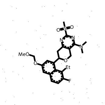 CCc1c(F)ccc2cc(OCOC)cc(C3Cc4nc(S(C)(=O)=O)nc(N(C)C)c4CO3)c12